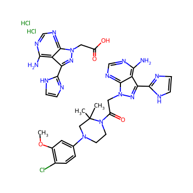 COc1cc(N2CCN(C(=O)Cn3nc(-c4ncc[nH]4)c4c(N)ncnc43)C(C)(C)C2)ccc1Cl.Cl.Cl.Nc1ncnc2c1c(-c1ncc[nH]1)nn2CC(=O)O